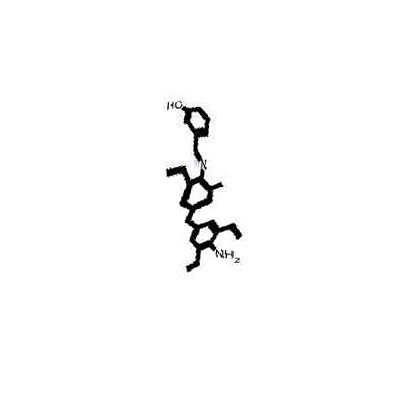 CCc1cc(Cc2cc(C)c(/N=C/c3cccc(O)c3)c(CC)c2)cc(CC)c1N